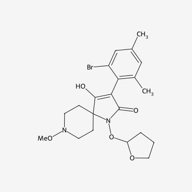 CON1CCC2(CC1)C(O)=C(c1c(C)cc(C)cc1Br)C(=O)N2OC1CCCO1